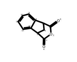 O=C1OC(=O)C2CC1c1ccccc12